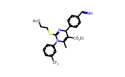 CCOC(=O)C1=C(C)N(c2cccc(C(F)(F)F)c2)C(SCCOC(C)=O)=NC1c1ccc(C=N)cc1